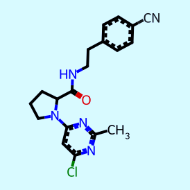 Cc1nc(Cl)cc(N2CCCC2C(=O)NCCc2ccc(C#N)cc2)n1